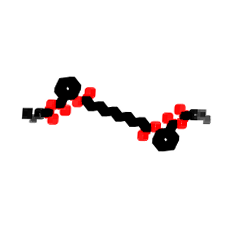 CC(=O)OC(=O)c1ccccc1OC(=O)CCCCCCCCC(=O)Oc1ccccc1C(=O)OC(C)=O